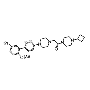 COc1ccc(C(C)C)cc1-c1ccc(N2CCN(CC(=O)N3CCN(C4CCC4)CC3)CC2)nn1